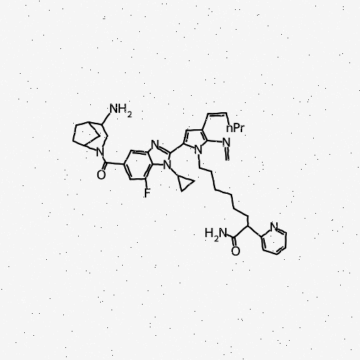 C=Nc1c(/C=C\CCC)cc(-c2nc3cc(C(=O)N4CC(N)C5CCC4C5)cc(F)c3n2C2CC2)n1CCCCCCC(C(N)=O)c1ccccn1